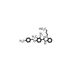 Cc1ccc(COc2ccc(C(=O)Nc3ccccc3OCCCC(=O)O)c(C)c2C)cc1